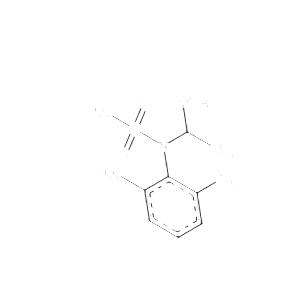 Cc1cccc(C)c1N(C(C)C(=O)O)S(C)(=O)=O